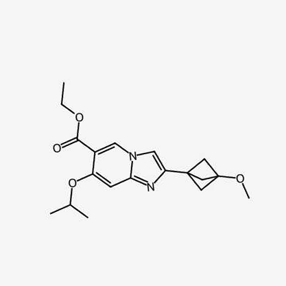 CCOC(=O)c1cn2cc(C34CC(OC)(C3)C4)nc2cc1OC(C)C